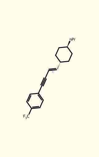 CCC[C@H]1CC[C@H](/C=C/C#Cc2ccc(C(F)(F)F)cc2)CC1